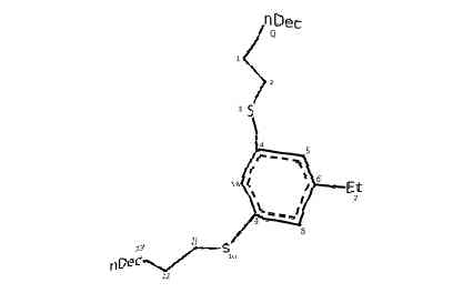 CCCCCCCCCCCCSc1cc(CC)cc(SCCCCCCCCCCCC)c1